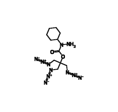 [N-]=[N+]=NCC(CN=[N+]=[N-])(CN=[N+]=[N-])OC(=O)N(N)C1CCCCC1